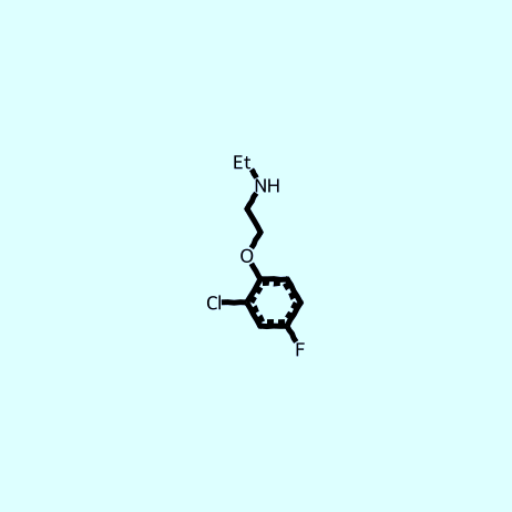 CCNCCOc1ccc(F)cc1Cl